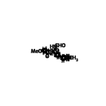 COc1ccc2c(c1)C(=O)N(C[C@H](NC(=O)NC=O)c1ccc(-c3ccc4nn(C)nc4c3)cc1)C2